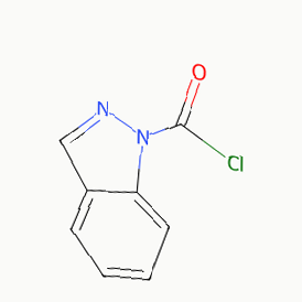 O=C(Cl)n1ncc2ccccc21